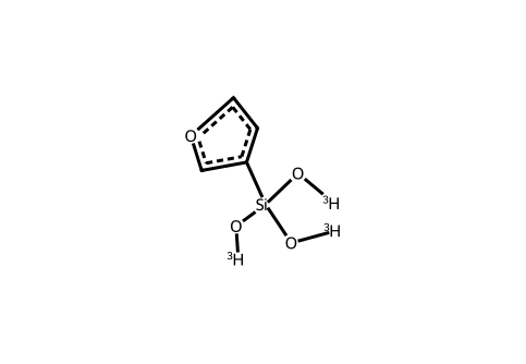 [3H]O[Si](O[3H])(O[3H])c1ccoc1